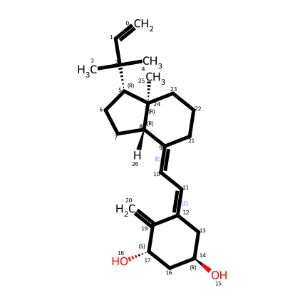 C=CC(C)(C)[C@H]1CC[C@H]2/C(=C/C=C3/C[C@@H](O)C[C@H](O)C3=C)CCC[C@]12C